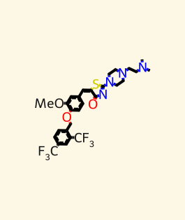 COc1cc(C=C2SC(N3CCN(CCN(C)C)CC3)=NC2=O)ccc1OCc1ccc(C(F)(F)F)cc1C(F)(F)F